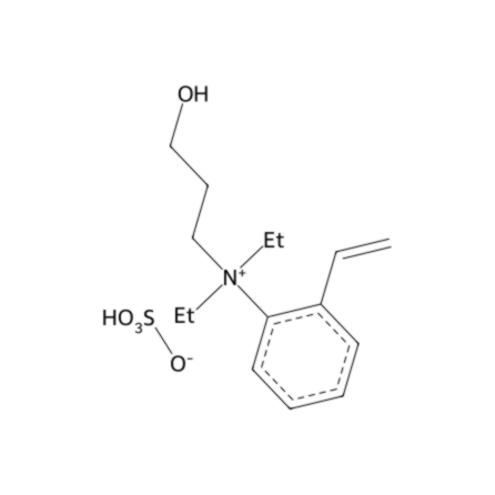 C=Cc1ccccc1[N+](CC)(CC)CCCO.O=S(=O)([O-])O